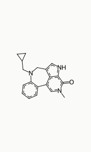 Cn1cc2c3c(c[nH]c3c1=O)CN(CC1CC1)c1ccccc1-2